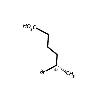 C[C@H](Br)CCCC(=O)O